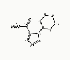 COC(=O)c1cncn1C1CCCCC1